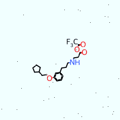 O=C(CCNCCCc1cccc(OCCC2CCCC2)c1)OC(=O)C(F)(F)F